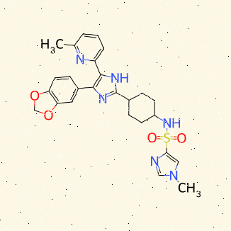 Cc1cccc(-c2[nH]c(C3CCC(NS(=O)(=O)c4cn(C)cn4)CC3)nc2-c2ccc3c(c2)OCO3)n1